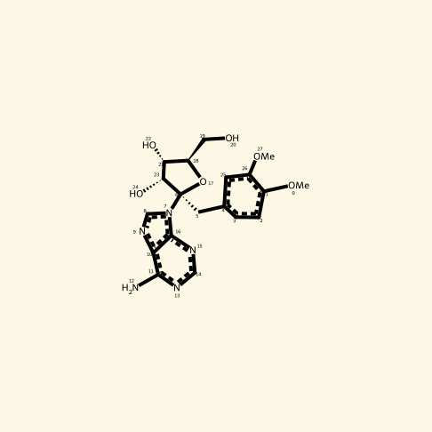 COc1ccc(C[C@@]2(n3cnc4c(N)ncnc43)O[C@H](CO)[C@@H](O)[C@H]2O)cc1OC